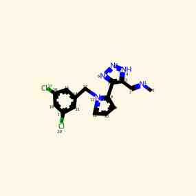 C/N=C/c1[nH]nnc1-c1cccn1Cc1cc(Cl)cc(Cl)c1